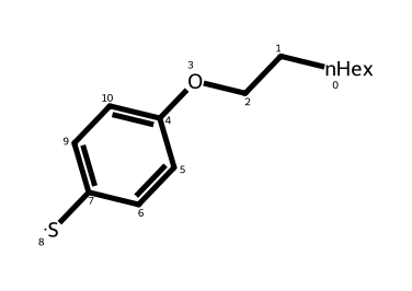 CCCCCCCCOc1ccc([S])cc1